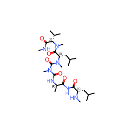 CNC(=O)[C@H](C(C)C)N(C)C(=O)[C@H](CC(C)C)N(C)C(=O)N(C)C(=O)N[C@H](C)C(=O)NC(=O)[C@H](CC(C)C)NC